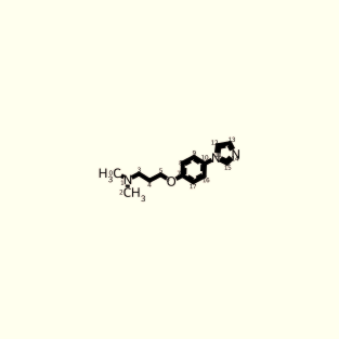 CN(C)CCCOc1ccc(-n2ccnc2)cc1